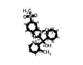 Cc1cccnc1C(O)(c1ccccc1)c1nc2ccc(S(C)(=O)=O)cc2n1C